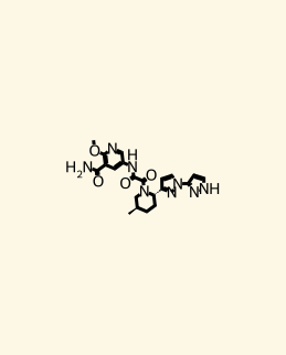 COc1ncc(NC(=O)C(=O)N2C[C@H](C)CC[C@H]2c2ccn(-c3cc[nH]n3)n2)cc1C(N)=O